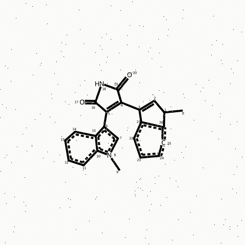 CC1C=C(C2=C(c3cn(C)c4ccccc34)C(=O)NC2=O)c2ccccc21